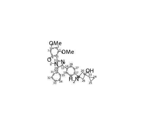 COc1cc(OC)c2c(c1)OCn1c-2nc(-c2ccc([C@]3(N)C[C@@](O)(C4CC4)C3)cc2)c1-c1ccccc1